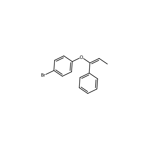 CC=C(Oc1ccc(Br)cc1)c1ccccc1